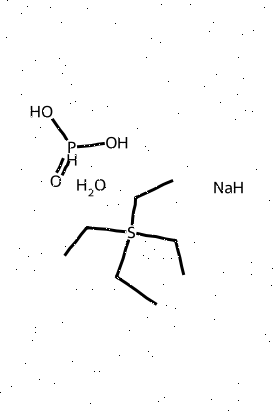 CCS(CC)(CC)CC.O.O=[PH](O)O.[NaH]